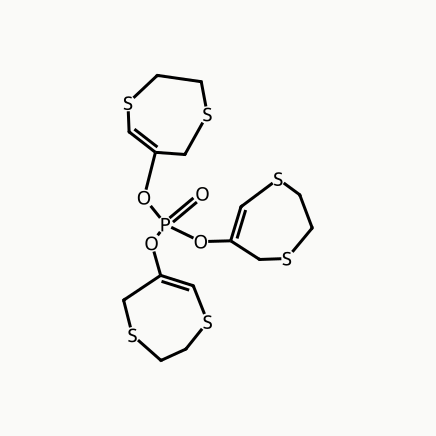 O=P(OC1=CSCCSC1)(OC1=CSCCSC1)OC1=CSCCSC1